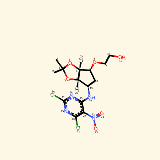 CC1(C)O[C@@H]2[C@H](O1)[C@@H](OCCO)C[C@H]2Nc1nc(Cl)nc(Cl)c1[N+](=O)[O-]